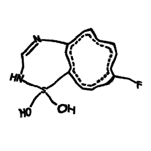 OS1(O)NC=Nc2ccc(F)cc21